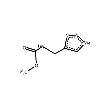 O=C(NCc1c[nH]nn1)OC(F)(F)F